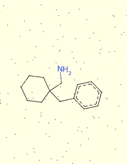 NCC1(Cc2ccccc2)CCCCC1